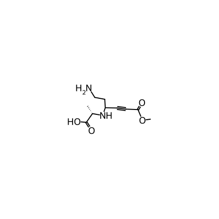 COC(=O)C#CC(CCN)N[C@@H](C)C(=O)O